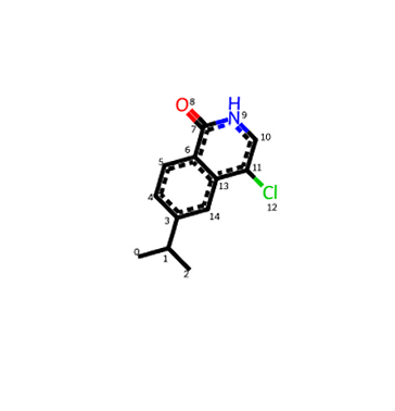 CC(C)c1ccc2c(=O)[nH]cc(Cl)c2c1